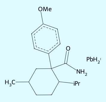 COc1ccc(C2(C(N)=O)CC(C)CCC2C(C)C)cc1.[PbH2]